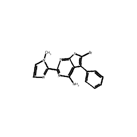 Cn1ccnc1-c1nc(N)c2c(-c3ccccc3)c(Br)sc2n1